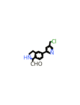 O=CC1NCCc2cc(-c3cncc(CCl)c3)ccc21